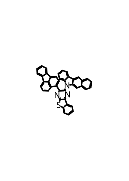 c1ccc2c(c1)-c1cccc3c(-c4nc5sc6ccccc6c5nc4-n4c5ccccc5c5cc6ccccc6cc54)ccc-2c13